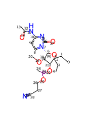 CCC1(CC)O[C@@H](n2ccc(NC(C)=O)nc2=O)[C@@H](OC)C1OP(C)OCCC#N